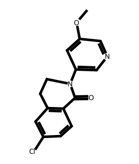 COc1cncc(N2CCc3cc(Cl)ccc3C2=O)c1